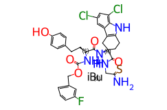 CC[C@H](C)C(NC(=O)[C@@]1(NC(=O)[C@H](CCc2ccc(O)cc2)NC(=O)OCc2cccc(F)c2)CCc2[nH]c3c(Cl)cc(Cl)cc3c2C1)C(N)=S